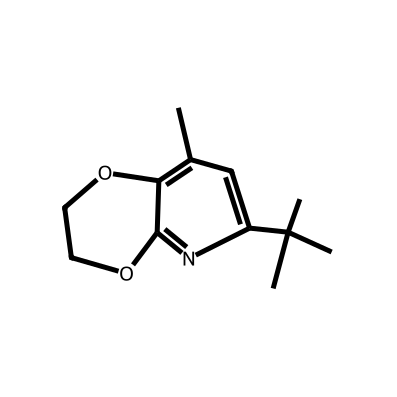 Cc1cc(C(C)(C)C)nc2c1OCCO2